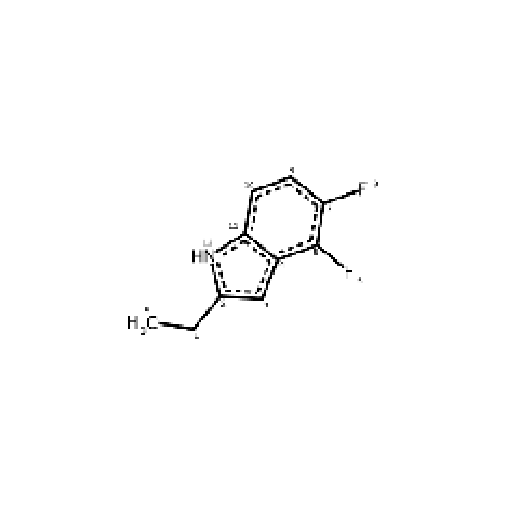 CCc1cc2c(F)c(F)ccc2[nH]1